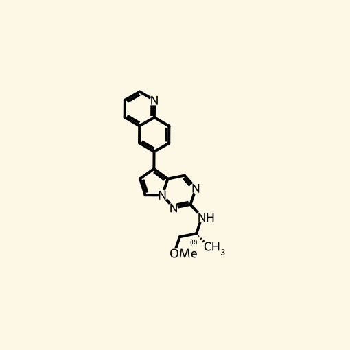 COC[C@@H](C)Nc1ncc2c(-c3ccc4ncccc4c3)ccn2n1